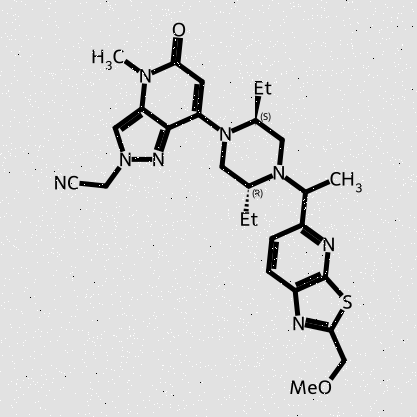 CC[C@H]1CN(C(C)c2ccc3nc(COC)sc3n2)[C@H](CC)CN1c1cc(=O)n(C)c2cn(CC#N)nc12